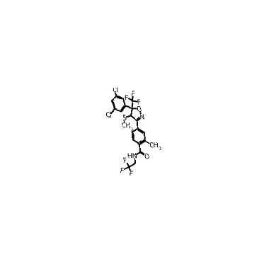 CSC1C(c2ccc(C(=O)NCC(F)(F)F)c(C)c2)=NOC1(c1cc(Cl)cc(Cl)c1)C(F)(F)F